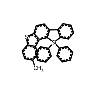 Cc1ccc2sc3ccc4c(c3c2c1)[Si](c1ccccc1)(c1ccccc1)c1ccccc1-4